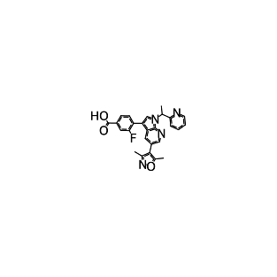 Cc1noc(C)c1-c1cnc2c(c1)c(-c1ccc(C(=O)O)cc1F)cn2C(C)c1ccccn1